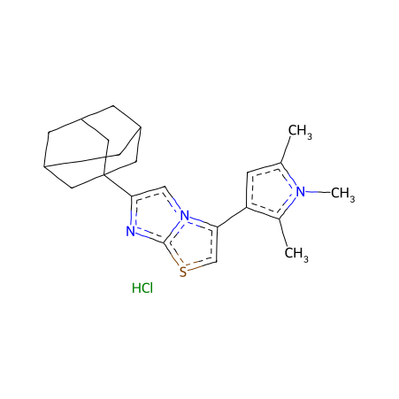 Cc1cc(-c2csc3nc(C45CC6CC(CC(C6)C4)C5)cn23)c(C)n1C.Cl